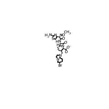 CO/N=C(\C(=O)N[C@@H]1C(=O)N2C(C(=O)[O-])=C(Cn3cc[n+]4cc(Br)ccc34)CS[C@H]12)c1csc(N)n1